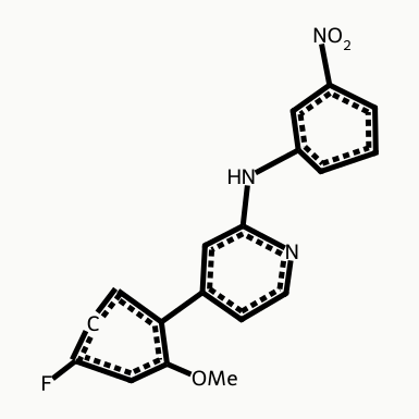 COc1cc(F)ccc1-c1ccnc(Nc2cccc([N+](=O)[O-])c2)c1